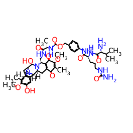 COC1=C(C)C(=O)C2=C(C1=O)[C@H](CNC(=O)[C@H](C)NC(=O)OCc1ccc(NC(=O)[C@H](CCCNC(N)=O)NC(=O)[C@@H](N)C(C)C)cc1)N1[C@@H](O)C3Cc4c(cc(O)c(OC)c4C)[C@@H]([C@@H]1C2)N3C